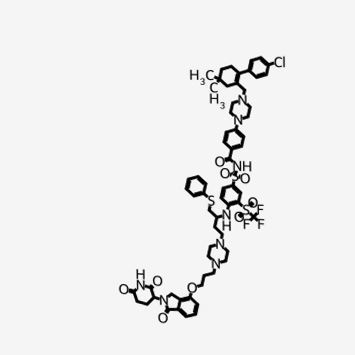 CC1(C)CCC(c2ccc(Cl)cc2)=C(CN2CCN(c3ccc(C(=O)NS(=O)(=O)c4ccc(NC(CCN5CCN(CCCOc6cccc7c6CN(C6CCC(=O)NC6=O)C7=O)CC5)CSc5ccccc5)c(S(=O)(=O)C(F)(F)F)c4)cc3)CC2)C1